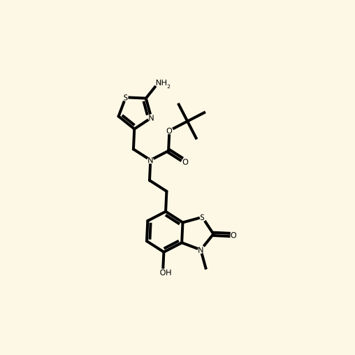 Cn1c(=O)sc2c(CCN(Cc3csc(N)n3)C(=O)OC(C)(C)C)ccc(O)c21